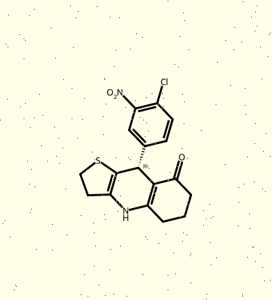 O=C1CCCC2=C1[C@@H](c1ccc(Cl)c([N+](=O)[O-])c1)C1=C(CCS1)N2